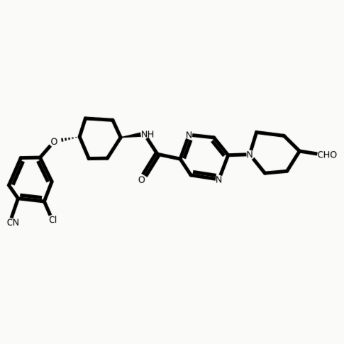 N#Cc1ccc(O[C@H]2CC[C@H](NC(=O)c3cnc(N4CCC(C=O)CC4)cn3)CC2)cc1Cl